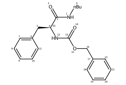 CCCCNC(=O)[C@H](Cc1ccccc1)NC(=O)OCc1ccccc1